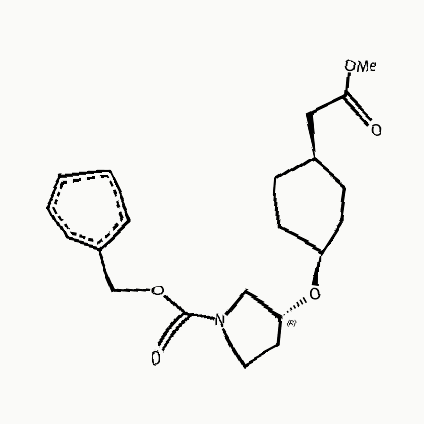 COC(=O)C[C@H]1CC[C@@H](O[C@@H]2CCN(C(=O)OCc3ccccc3)C2)CC1